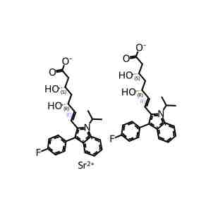 CC(C)n1c(/C=C/[C@H](O)C[C@H](O)CC(=O)[O-])c(-c2ccc(F)cc2)c2ccccc21.CC(C)n1c(/C=C/[C@H](O)C[C@H](O)CC(=O)[O-])c(-c2ccc(F)cc2)c2ccccc21.[Sr+2]